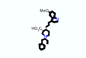 C=CC(Cc1ccccc1)N1CC[C@@H](CCCc2ccnc3ccc(OC)cc23)[C@@H](C(=O)O)C1